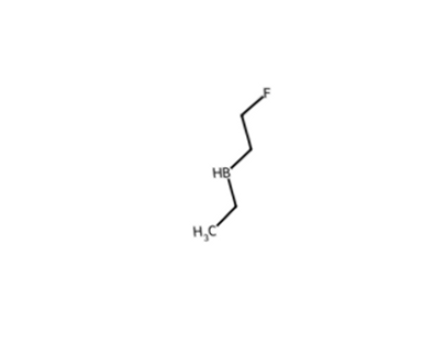 CCBCCF